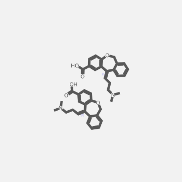 CN(C)CC/C=C1/c2ccccc2COc2ccc(C(=O)O)cc21.CN(C)CC/C=C1\c2ccccc2COc2ccc(C(=O)O)cc21